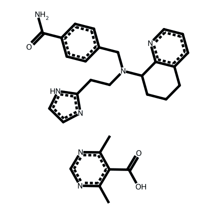 Cc1ncnc(C)c1C(=O)O.NC(=O)c1ccc(CN(CCc2ncc[nH]2)C2CCCc3cccnc32)cc1